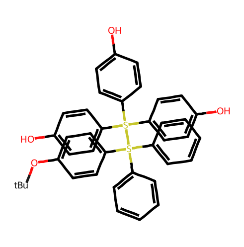 CC(C)(C)Oc1ccc(S(c2ccccc2)(c2ccccc2)S(c2ccc(O)cc2)(c2ccc(O)cc2)c2ccc(O)cc2)cc1